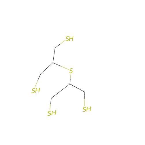 SCC(CS)SC(CS)CS